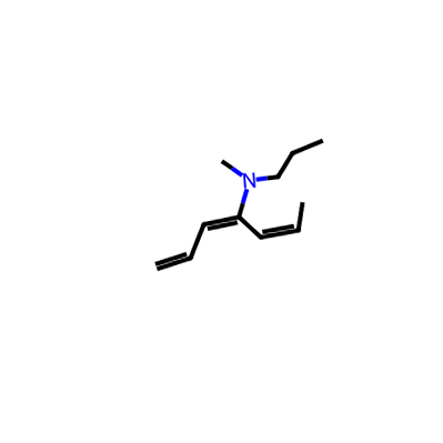 C=C/C=C(\C=C/C)N(C)CCC